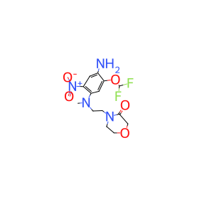 CN(CCN1CCOCC1=O)c1cc(OC(F)F)c(N)cc1[N+](=O)[O-]